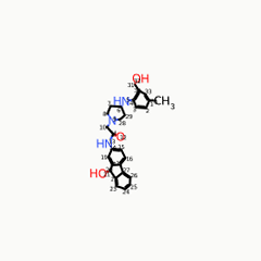 Cc1ccc(NC2CCN(CC(=O)Nc3ccc4c(c3)C(O)c3ccccc3-4)CC2)c(CO)c1